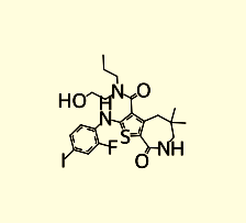 CCCN(CCO)C(=O)c1c(Nc2ccc(I)cc2F)sc2c1CC(C)(C)CNC2=O